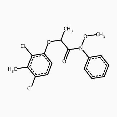 CON(C(=O)C(C)Oc1ccc(Cl)c(C)c1Cl)c1ccccc1